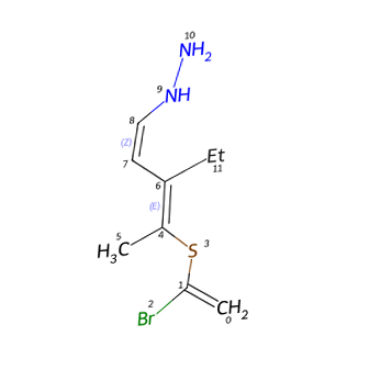 C=C(Br)S/C(C)=C(/C=C\NN)CC